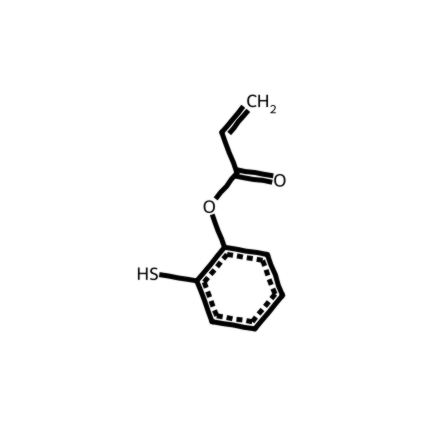 C=CC(=O)Oc1ccccc1S